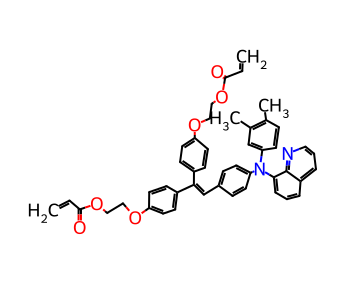 C=CC(=O)OCCOc1ccc(C(=Cc2ccc(N(c3ccc(C)c(C)c3)c3cccc4cccnc34)cc2)c2ccc(OCCOC(=O)C=C)cc2)cc1